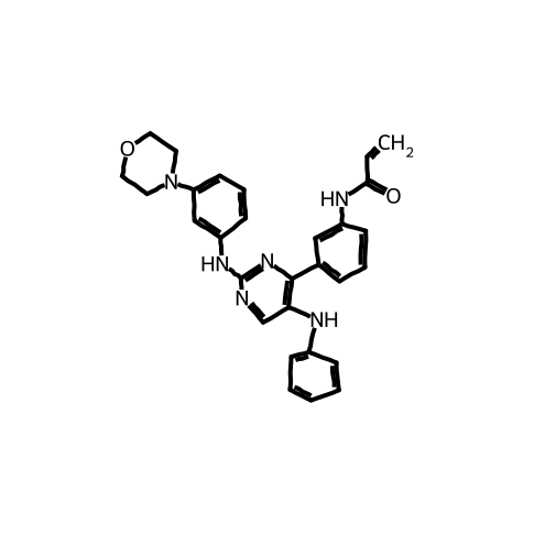 C=CC(=O)Nc1cccc(-c2nc(Nc3cccc(N4CCOCC4)c3)ncc2Nc2ccccc2)c1